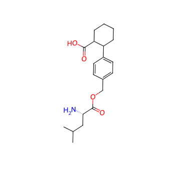 CC(C)C[C@H](N)C(=O)OCc1ccc(C2CCCCC2C(=O)O)cc1